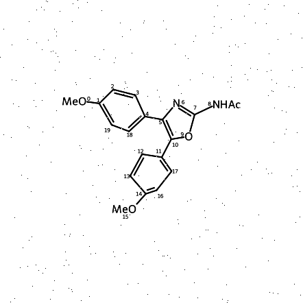 COc1ccc(-c2nc(NC(C)=O)oc2-c2ccc(OC)cc2)cc1